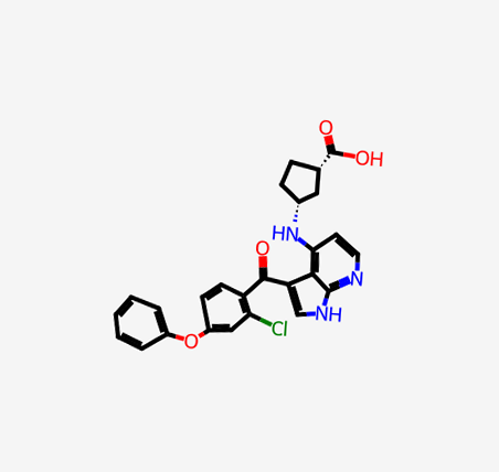 O=C(c1ccc(Oc2ccccc2)cc1Cl)c1c[nH]c2nccc(N[C@@H]3CC[C@H](C(=O)O)C3)c12